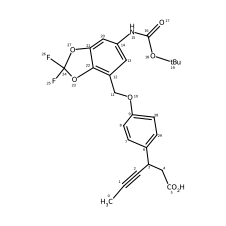 CC#CC(CC(=O)O)c1ccc(OCc2cc(NC(=O)OC(C)(C)C)cc3c2OC(F)(F)O3)cc1